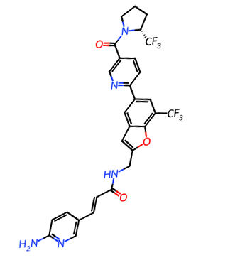 Nc1ccc(C=CC(=O)NCc2cc3cc(-c4ccc(C(=O)N5CCC[C@@H]5C(F)(F)F)cn4)cc(C(F)(F)F)c3o2)cn1